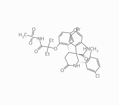 CCC(CC)(Oc1ccc(Cl)cc1[C@H]1CC(=O)N[C@@H](c2cc(Cl)ccc2C)[C@]12C(=O)Nc1cc(Br)ccc12)C(=O)NS(C)(=O)=O